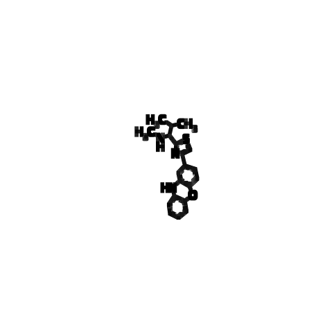 CNC(c1nc(-c2ccc3c(c2)Nc2ccccc2O3)cs1)C(C)C